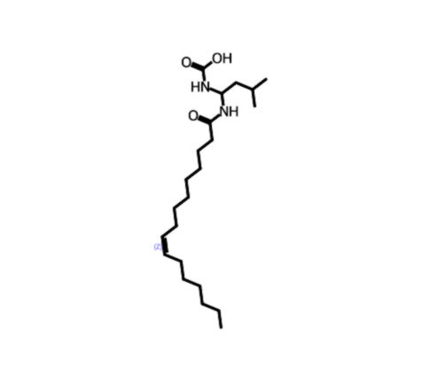 CCCCCC/C=C\CCCCCCCC(=O)NC(CC(C)C)NC(=O)O